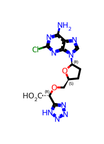 Nc1nc(Cl)nc2c1ncn2[C@H]1CC[C@@H](CO[C@@H](C(=O)O)c2nnn[nH]2)O1